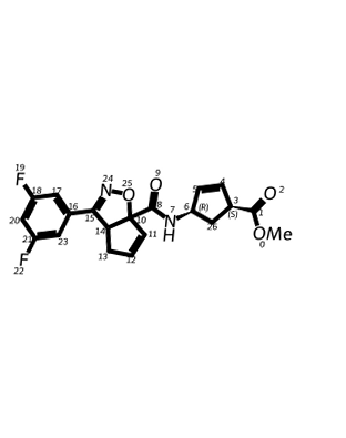 COC(=O)[C@@H]1C=C[C@H](NC(=O)C23C=CCC2C(c2cc(F)cc(F)c2)=NO3)C1